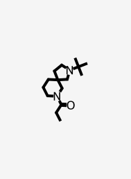 CCC(=O)N1CCCC2(CCN(C(C)(C)C)C2)C1